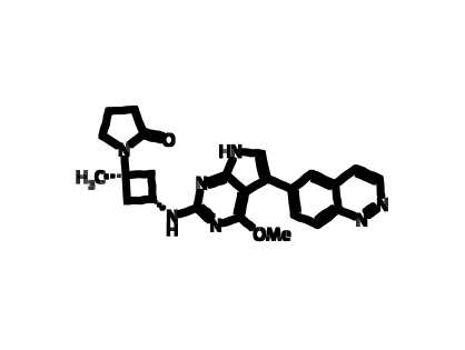 COc1nc(N[C@H]2C[C@](C)(N3CCCC3=O)C2)nc2[nH]cc(-c3ccc4nnccc4c3)c12